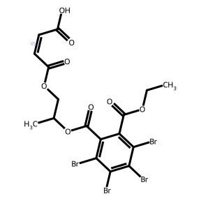 CCOC(=O)c1c(Br)c(Br)c(Br)c(Br)c1C(=O)OC(C)COC(=O)/C=C\C(=O)O